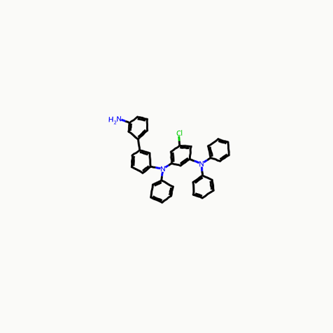 Nc1cccc(-c2cccc(N(c3ccccc3)c3cc(Cl)cc(N(c4ccccc4)c4ccccc4)c3)c2)c1